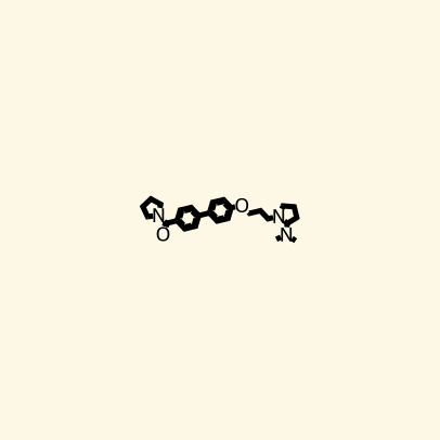 CN(C)C1CCCN1CCCOc1ccc(-c2ccc(C(=O)N3CCCC3)cc2)cc1